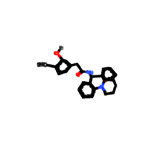 CCOc1cc(CC(=O)NC(c2ccccc2)c2ccccc2N2CCCCC2)ccc1C=O